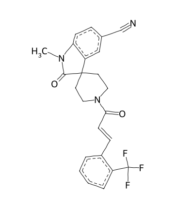 CN1C(=O)C2(CCN(C(=O)C=Cc3ccccc3C(F)(F)F)CC2)c2cc(C#N)ccc21